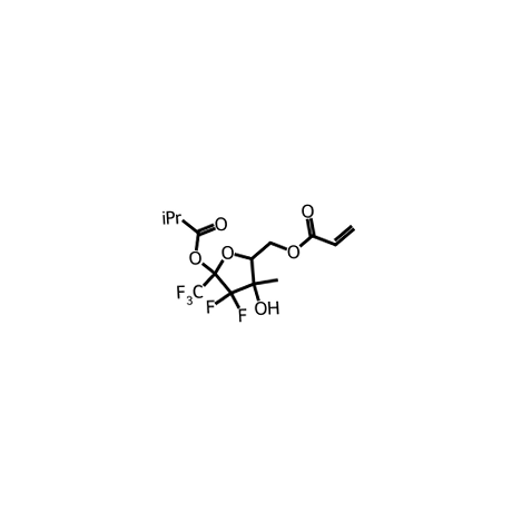 C=CC(=O)OCC1OC(OC(=O)C(C)C)(C(F)(F)F)C(F)(F)C1(C)O